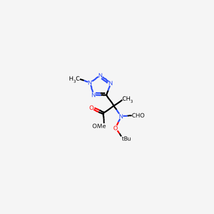 COC(=O)C(C)(c1nnn(C)n1)N(C=O)OC(C)(C)C